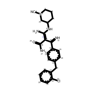 N#CN1CCCC(N/C(N)=C(\C(=N)c2ccc(Cc3ccccc3Cl)cc2)C(N)=O)C1